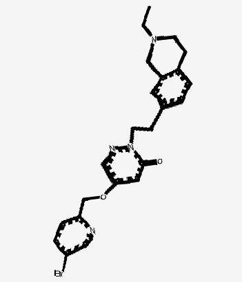 CCN1CCc2ccc(CCn3ncc(OCc4ccc(Br)cn4)cc3=O)cc2C1